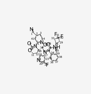 N#Cc1ccnc(N2C(=O)OCC[C@H]2C(=O)N(c2cncc(F)c2)[C@H](C(=O)NC2CC(F)(F)C2)c2ccccc2F)c1